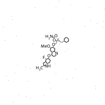 COc1cc2c(Oc3ccc4[nH]c(C)cc4c3F)ccnc2cc1OCC1(OC(N)=O)CC1Cc1ccccc1